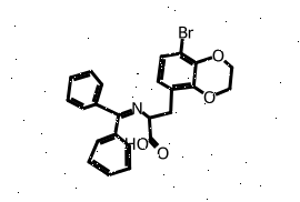 O=C(O)C(Cc1ccc(Br)c2c1OCCO2)N=C(c1ccccc1)c1ccccc1